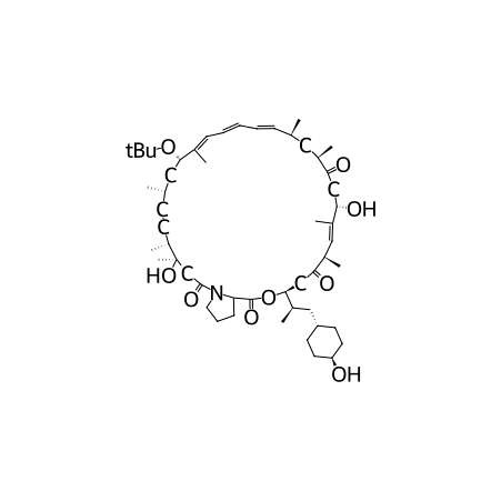 C\C1=C/C=C/C=C/[C@@H](C)C[C@@H](C)C(=O)C[C@H](O)/C(C)=C/[C@@H](C)C(=O)C[C@@H]([C@H](C)C[C@H]2CC[C@H](O)CC2)OC(=O)C2CCCN2C(=O)C[C@@](C)(O)[C@H](C)CC[C@H](C)C[C@@H]1OC(C)(C)C